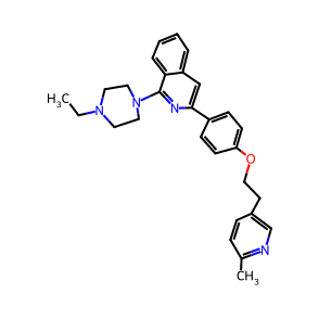 CCN1CCN(c2nc(-c3ccc(OCCc4ccc(C)nc4)cc3)cc3ccccc23)CC1